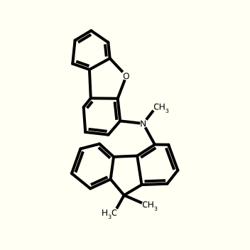 CN(c1cccc2c1-c1ccccc1C2(C)C)c1cccc2c1oc1ccccc12